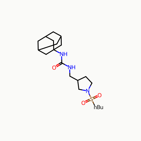 CCCCS(=O)(=O)N1CCC(CNC(=O)NC23CC4CC(CC(C4)C2)C3)C1